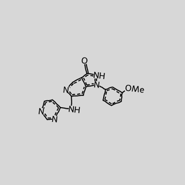 COc1cccc(-n2[nH]c(=O)c3cnc(Nc4ccncn4)cc32)c1